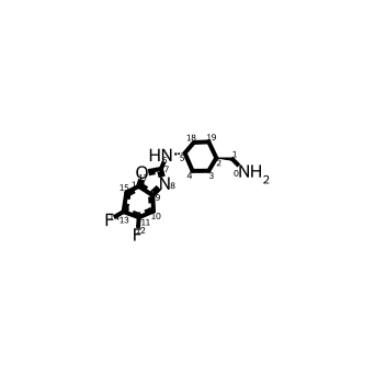 NC[C@H]1CC[C@H](Nc2nc3cc(F)c(F)cc3o2)CC1